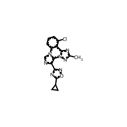 Cc1nc2c3c(Cl)cccc3n3cnc(-c4noc(C5CC5)n4)c3n2n1